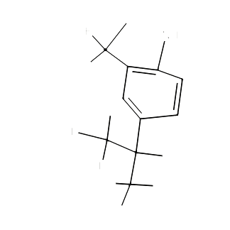 Cl.Nc1ccc(C(F)(C(F)(F)F)C(F)(F)F)cc1C(F)(F)F